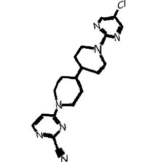 N#Cc1nccc(N2CCC(C3CCN(c4ncc(Cl)cn4)CC3)CC2)n1